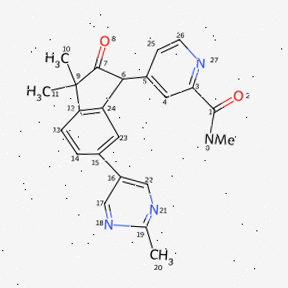 CNC(=O)c1cc(C2C(=O)C(C)(C)c3ccc(-c4cnc(C)nc4)cc32)ccn1